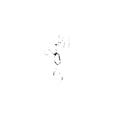 NNC(=O)c1ccc(N2CCOCC2)cc1Cl